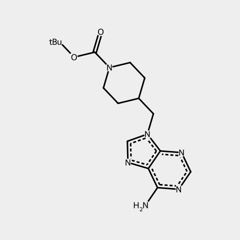 CC(C)(C)OC(=O)N1CCC(Cn2cnc3c(N)ncnc32)CC1